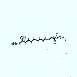 CCCCCCC(O)CCCCCCCCCCC(=O)NN